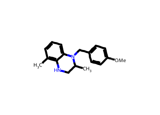 COc1ccc(CN2c3cccc(C)c3NCC2C)cc1